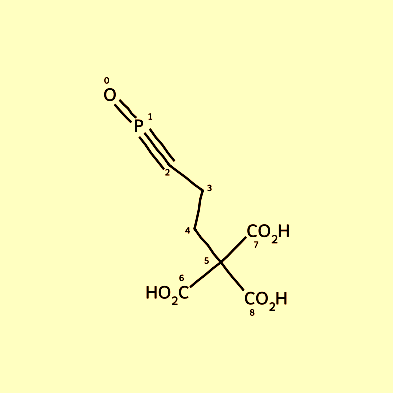 O=P#CCCC(C(=O)O)(C(=O)O)C(=O)O